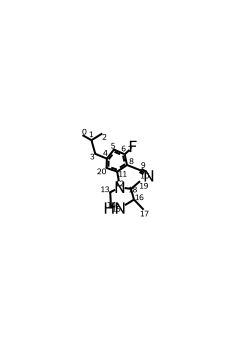 CC(C)Cc1cc(F)c(C#N)c(N2CCNC(C)C2C)c1